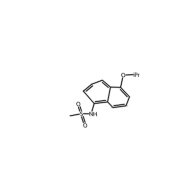 CC(C)Oc1c[c][c]c2c(NS(C)(=O)=O)cccc12